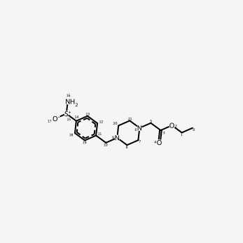 CCOC(=O)CN1CCN(Cc2ccc([S+](N)[O-])cc2)CC1